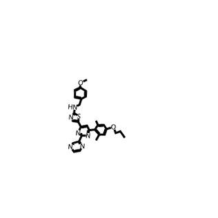 CCCOc1cc(C)c(-c2cc(-c3cnc(NCc4ccc(OC)cc4)s3)nc(-c3cnccn3)n2)c(C)c1